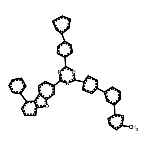 Cc1cccc(-c2cccc(-c3ccc(-c4nc(-c5ccc(-c6ccccc6)cc5)nc(-c5ccc6c(c5)oc5cccc(-c7ccccc7)c56)n4)cc3)c2)c1